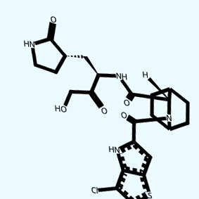 O=C1NCC[C@H]1C[C@@H](NC(=O)[C@@H]1C2CCC(CC2)N1C(=O)c1cc2scc(Cl)c2[nH]1)C(=O)CO